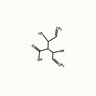 C=CC(S)N(C(=O)O)C(S)C=C